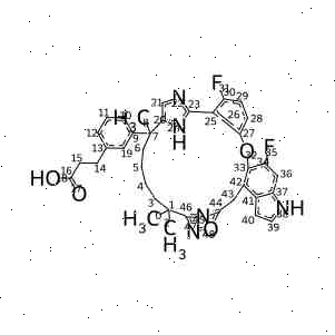 CC1(C)CCCCC(C)(c2cccc(CCC(=O)O)c2)c2cnc([nH]2)-c2cc(ccc2F)Oc2c(F)cc3[nH]ccc3c2Cc2nc1no2